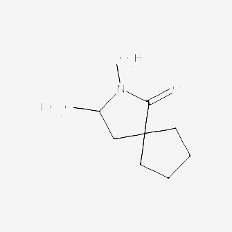 O=C(O)C1CC2(CCCC2)C(=O)N1C(=O)O